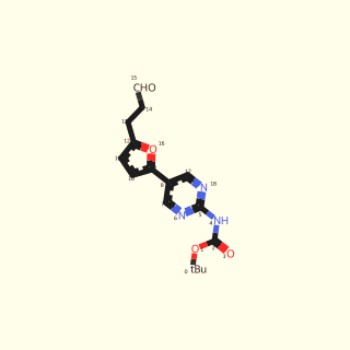 CC(C)(C)OC(=O)Nc1ncc(-c2ccc(CCC=O)o2)cn1